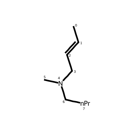 CC=CCN(C)CCCC